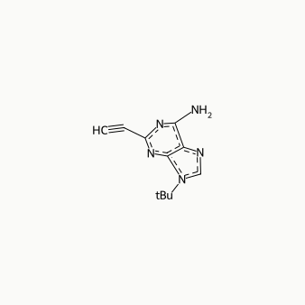 C#Cc1nc(N)c2ncn(C(C)(C)C)c2n1